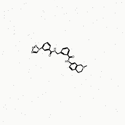 CN1CCc2ccc(NC(=O)c3cccc(CNC(=O)c4cccc(-n5cnnn5)c4)c3)cc2C1